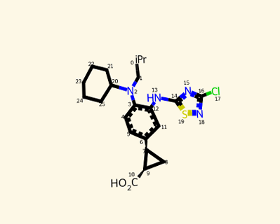 CC(C)CN(c1ccc([C@H]2C[C@H]2C(=O)O)cc1Nc1nc(Cl)ns1)C1CCCCC1